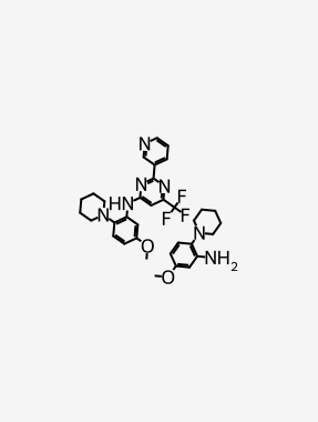 COc1ccc(N2CCCCC2)c(N)c1.COc1ccc(N2CCCCC2)c(Nc2cc(C(F)(F)F)nc(-c3cccnc3)n2)c1